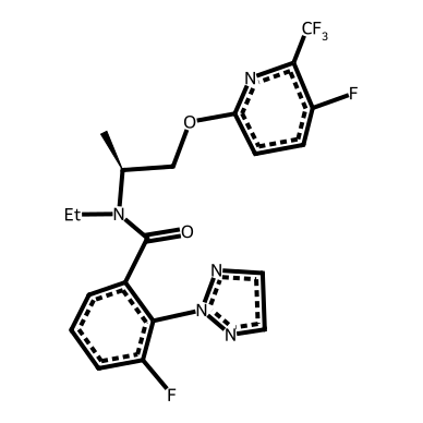 CCN(C(=O)c1cccc(F)c1-n1nccn1)[C@@H](C)COc1ccc(F)c(C(F)(F)F)n1